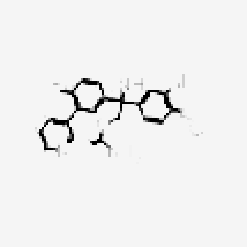 C=C(N)OCC(N)(c1ccc(OC)c(Cl)c1)c1ccc(F)c(-c2cccnc2)c1